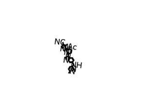 CC(=O)c1ccc(-n2cnc3cc(Nc4ccc(C)nn4)ccc32)nc1-n1ncc(C#N)c1C